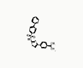 CC(C)c1ccc(-c2csc(NS(=O)(=O)c3ccc(-c4ccccc4)cc3)n2)cc1